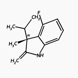 C=C1Nc2cccc(F)c2[C@@]1(C)C(C)C